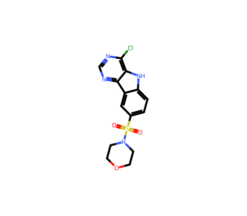 O=S(=O)(c1ccc2[nH]c3c(Cl)ncnc3c2c1)N1CCOCC1